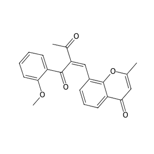 COc1ccccc1C(=O)/C(=C\c1cccc2c(=O)cc(C)oc12)C(C)=O